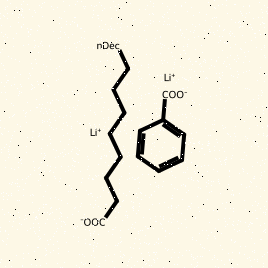 CCCCCCCCCCCCCCCCCC(=O)[O-].O=C([O-])c1ccccc1.[Li+].[Li+]